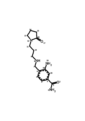 NC(=O)c1ccc(CNCCCN2CCCC2=O)c(N)c1